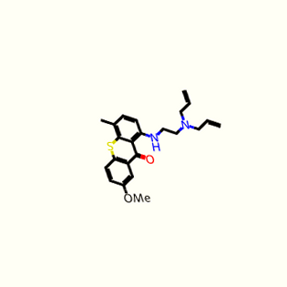 C=CCN(CC=C)CCNc1ccc(C)c2sc3ccc(OC)cc3c(=O)c12